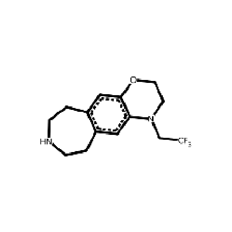 FC(F)(F)CN1CCOc2cc3c(cc21)CCNCC3